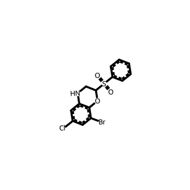 O=S(=O)(c1ccccc1)C1CNc2cc(Cl)cc(Br)c2O1